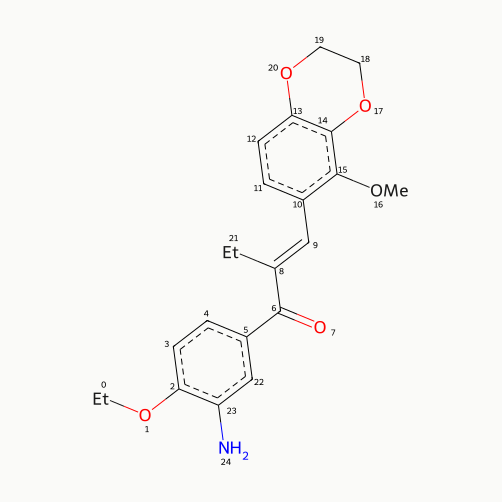 CCOc1ccc(C(=O)/C(=C/c2ccc3c(c2OC)OCCO3)CC)cc1N